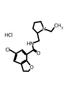 CCN1CCCC1CNC(=O)c1cc(Cl)cc2c1OCC2.Cl